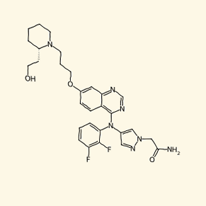 NC(=O)Cn1cc(N(c2cccc(F)c2F)c2ncnc3cc(OCCCN4CCCC[C@H]4CCO)ccc23)cn1